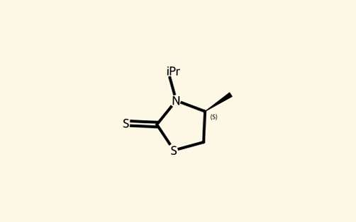 CC(C)N1C(=S)SC[C@@H]1C